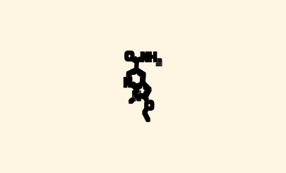 CCOc1cc2cc(C(N)=O)cnc2n1C